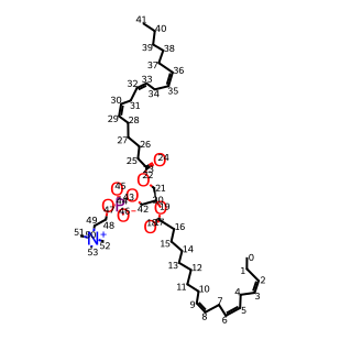 CC/C=C\C/C=C\C/C=C\CCCCCCCC(=O)O[C@H](COC(=O)CCCC/C=C\C/C=C\C/C=C\CCCCC)COP(=O)([O-])OCC[N+](C)(C)C